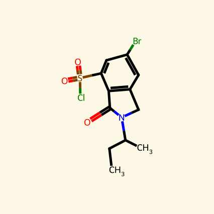 CCC(C)N1Cc2cc(Br)cc(S(=O)(=O)Cl)c2C1=O